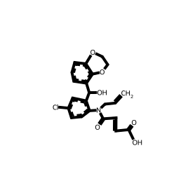 C=CCN(C(=O)/C=C/C(=O)O)c1ccc(Cl)cc1C(O)c1cccc2c1OCCO2